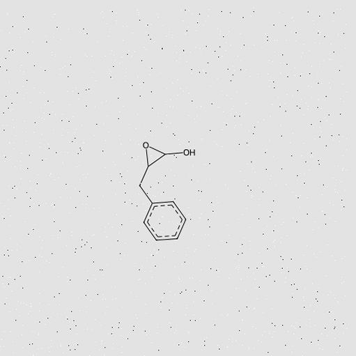 OC1OC1Cc1ccccc1